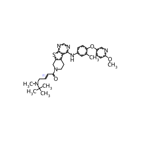 COc1ccc(Oc2ccc(Nc3ncnc4sc5c(c34)CCN(C(=O)/C=C/CN(C)C(C)(C)C)C5)cc2C)cn1